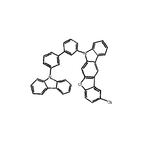 N#Cc1ccc2oc3cc4c(cc3c2c1)c1ccccc1n4-c1cccc(-c2cccc(-n3c4ccccc4c4ccccc43)c2)c1